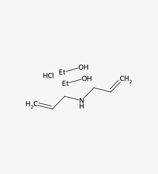 C=CCNCC=C.CCO.CCO.Cl